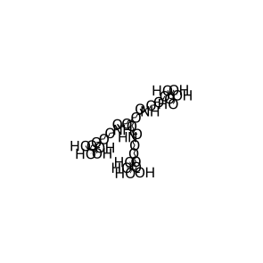 O=C(CCOCC(COCCC(=O)NCCOCCOCCO[C@H]1OC(CO)[C@@H](O)C(O)C1O)COCCC(=O)NCCOCCOCCO[C@H]1OC(CO)[C@@H](O)C(O)C1O)NCCOCCOCCOC1=C(O)C(O)[C@H](O)C(CO)O1